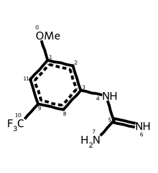 COc1cc(NC(=N)N)cc(C(F)(F)F)c1